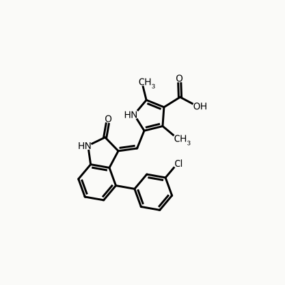 Cc1[nH]c(C=C2C(=O)Nc3cccc(-c4cccc(Cl)c4)c32)c(C)c1C(=O)O